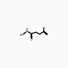 C=C(C)CCC(=O)NC(C)C